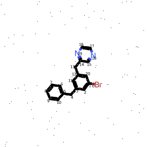 Brc1cc(Cc2ccccc2)cc(Cc2cnccn2)c1